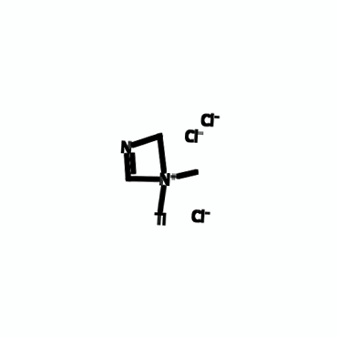 C[N+]1([Ti])C=NC1.[Cl-].[Cl-].[Cl-]